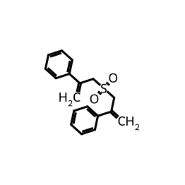 C=C(CS(=O)(=O)CC(=C)c1ccccc1)c1ccccc1